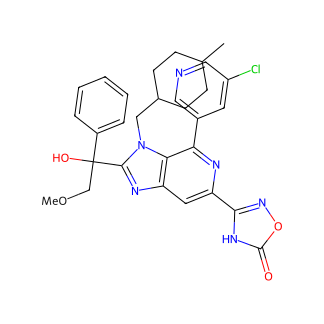 COCC(O)(c1ccccc1)c1nc2cc(-c3noc(=O)[nH]3)nc(-c3cncc(Cl)c3)c2n1CC1CCC(C)CC1